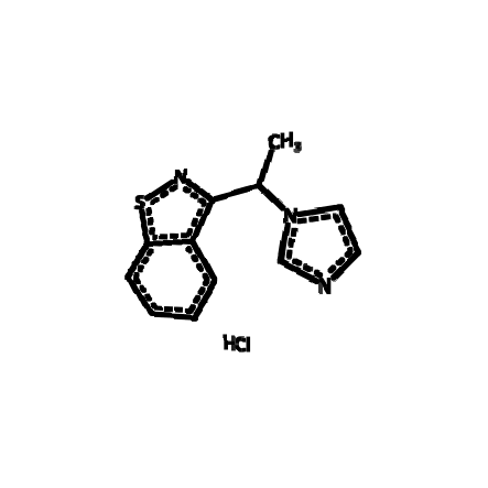 CC(c1nsc2ccccc12)n1ccnc1.Cl